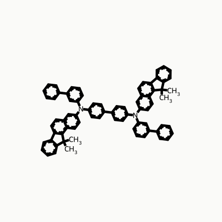 CC1(C)c2ccccc2-c2ccc3cc(N(c4ccc(-c5ccc(N(c6cccc(-c7ccccc7)c6)c6ccc7c8c(ccc7c6)-c6ccccc6C8(C)C)cc5)cc4)c4cccc(-c5ccccc5)c4)ccc3c21